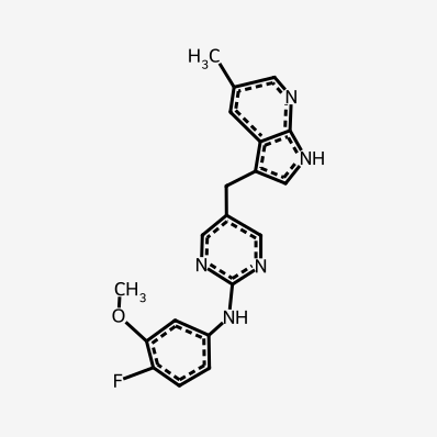 COc1cc(Nc2ncc(Cc3c[nH]c4ncc(C)cc34)cn2)ccc1F